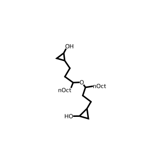 CCCCCCCCC(CCC1CC1O)OC(CCCCCCCC)CCC1CC1O